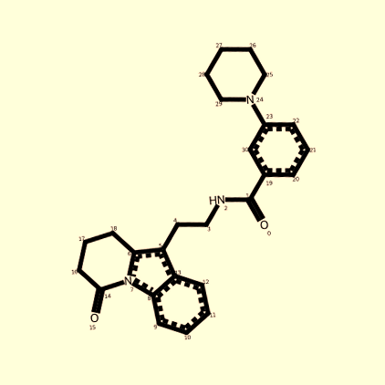 O=C(NCCc1c2n(c3ccccc13)C(=O)CCC2)c1cccc(N2CCCCC2)c1